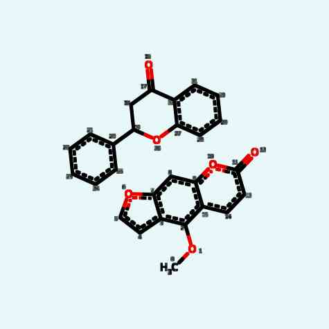 COc1c2ccoc2cc2oc(=O)ccc12.O=C1CC(c2ccccc2)Oc2ccccc21